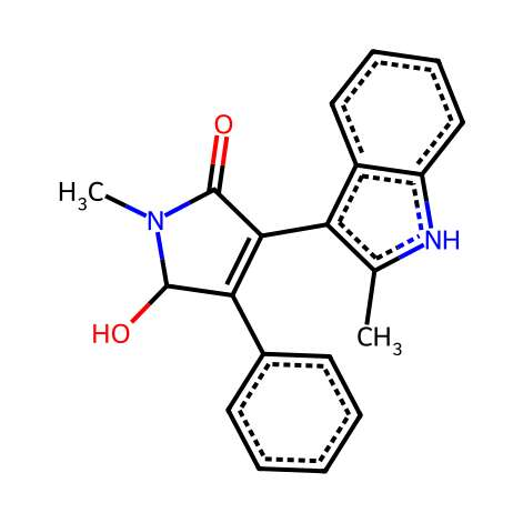 Cc1[nH]c2ccccc2c1C1=C(c2ccccc2)C(O)N(C)C1=O